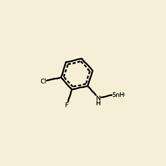 Fc1c(Cl)cccc1[NH][SnH]